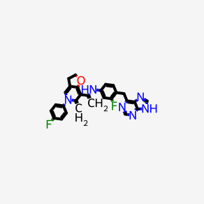 C=C(Nc1ccc(Cc2ncnc3[nH]cnc23)c(F)c1)C1=C2OCCC2=CN(c2ccc(F)cc2)C1=C